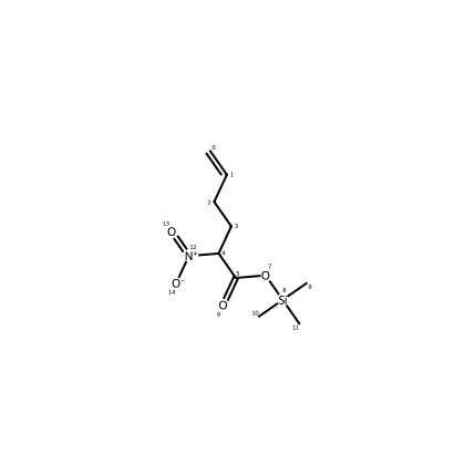 C=CCCC(C(=O)O[Si](C)(C)C)[N+](=O)[O-]